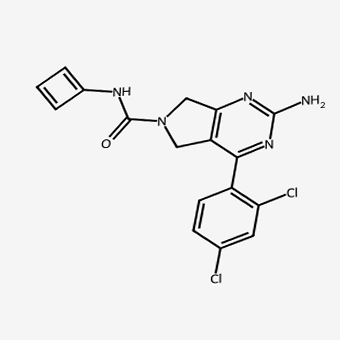 Nc1nc2c(c(-c3ccc(Cl)cc3Cl)n1)CN(C(=O)NC1=CC=C1)C2